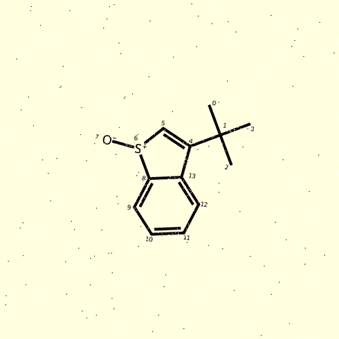 CC(C)(C)c1c[s+]([O-])c2ccccc12